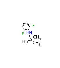 C[Si](C)(C)CNc1c(F)cccc1F